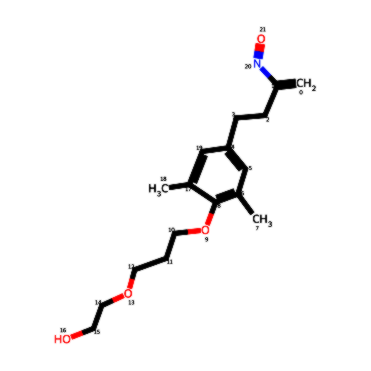 C=C(CCc1cc(C)c(OCCCOCCO)c(C)c1)N=O